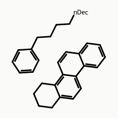 CCCCCCCCCCCCCCc1ccccc1.c1ccc2c(c1)ccc1c3c(ccc12)CCCC3